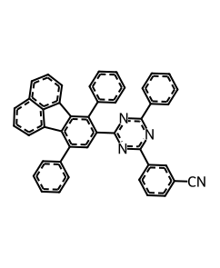 N#Cc1cccc(-c2nc(-c3ccccc3)nc(-c3cc(-c4ccccc4)c4c(c3-c3ccccc3)-c3cccc5cccc-4c35)n2)c1